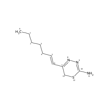 CCCCC/C=C/C1=NN=C(N)SC1